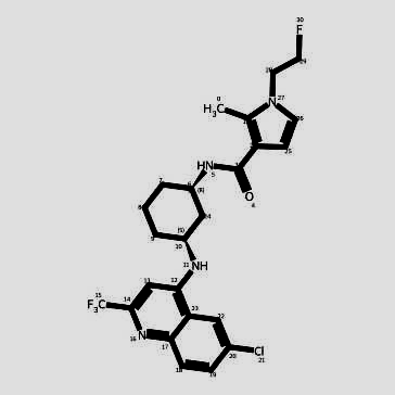 Cc1c(C(=O)N[C@@H]2CCC[C@H](Nc3cc(C(F)(F)F)nc4ccc(Cl)cc34)C2)ccn1CCF